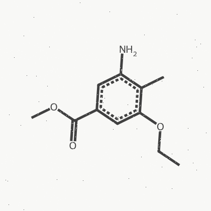 CCOc1cc(C(=O)OC)cc(N)c1C